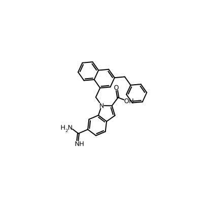 N=C(N)c1ccc2cc(C(=O)O)n(Cc3cc(Cc4ccccc4)cc4ccccc34)c2c1